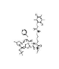 CC1=C(C)C(=O)C(CCC(=O)NCCCC[C@H](NC(=O)[C@@H]2CCCN2C(=O)[C@H](/C=C/[C@@H]2CC(C)CN2C(=O)OC(C)(C)C)Cc2ccccc2)C(=O)NC(C)C)=C(C)C1=O